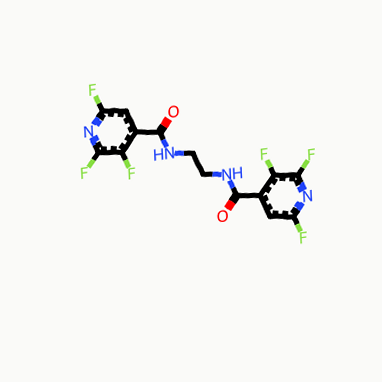 O=C(NCCNC(=O)c1cc(F)nc(F)c1F)c1cc(F)nc(F)c1F